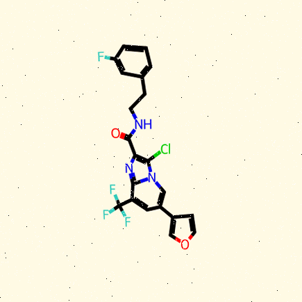 O=C(NCCc1cccc(F)c1)c1nc2c(C(F)(F)F)cc(-c3ccoc3)cn2c1Cl